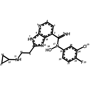 N=C(c1ccnc2[nH]c(CCNC3CC3)nc12)N(O)c1ccc(F)c(Cl)c1